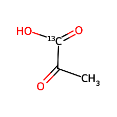 CC(=O)[13C](=O)O